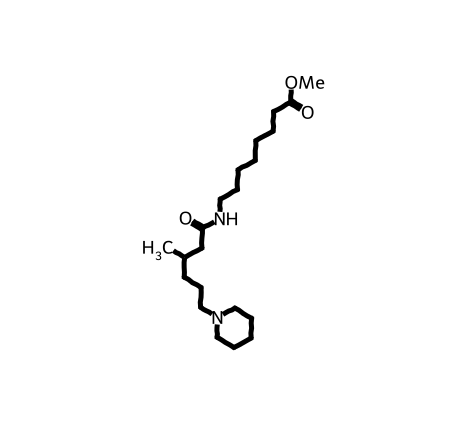 COC(=O)CCCCCCCNC(=O)CC(C)CCCN1CCCCC1